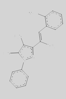 COc1ccccc1/C=C(\N)c1nn(-c2ccccc2)c(N)c1N